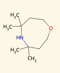 CC1(C)CCOCCC(C)(C)N1